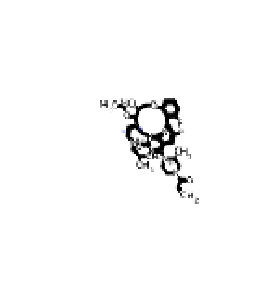 C=CC(=O)N1CCN(c2nc(=O)n3c4nc(c(F)cc24)-c2c(F)cccc2OCC(O)C(OCC)C(/C=C\NCC(C)C)=C\3)[C@@H](C)C1